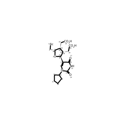 CC(=O)C[C@H]1O[C@H](c2cn(C3CCCC3)c(=O)[nH]c2=O)[C@@H](CC(=O)O)[C@H]1CC(=O)O